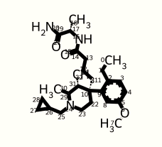 CCc1ccc(OC)cc1[C@@]1(CCCC(=O)N[C@@H](C)C(N)=O)CCN(CC2CC2)C(C)[C@@H]1C